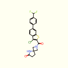 O=C1CCC2(CN(C(=O)c3sc4cc(-c5ccc(C(F)F)cc5)ccc4c3Cl)C2)N1